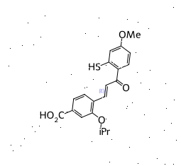 COc1ccc(C(=O)/C=C/c2ccc(C(=O)O)cc2OC(C)C)c(S)c1